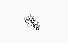 O=C1NCCn2cc(-c3ccncc3)c(Cl)c21